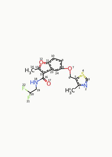 Cc1ncsc1COc1ccc2oc(C)c(C(=O)NCC(F)F)c2c1